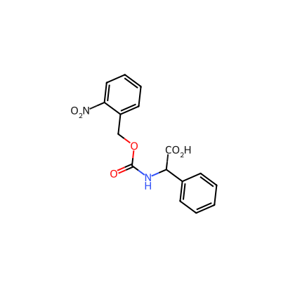 O=C(NC(C(=O)O)c1ccccc1)OCc1ccccc1[N+](=O)[O-]